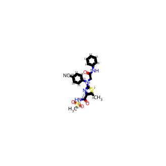 Cc1sc(N(CC(=O)Nc2ccccc2)c2ccc(C#N)cc2)nc1C(=O)NS(C)(=O)=O